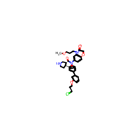 COCCCN1C(=O)COc2ccc(N(C(=O)[C@H]3CNCC[C@@H]3c3cccc(-c4cccc(OCCCCl)c4)c3)C3CC3)cc21